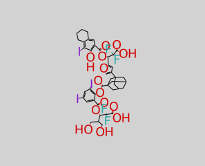 O=C(OC(c1cc(C23CC4CC(CC(C(=O)Oc5c(I)cc(I)cc5C(=O)OC(C(CO)CO)C(F)(F)C(=O)O)(C4)C2)C3)co1)C(F)(F)C(=O)O)c1cc2c(c(I)c1O)CCCC2